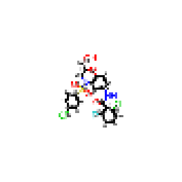 O=C(Nc1ccc2c(c1)N(S(=O)(=O)c1ccc(Cl)cc1)C[C@@H](CO)O2)c1c(F)cccc1Cl